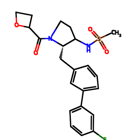 CS(=O)(=O)NC1CCN(C(=O)C2CCO2)[C@H]1Cc1cccc(-c2cccc(F)c2)c1